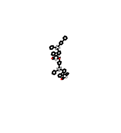 c1ccc(-c2ccc(-c3nc(-c4ccccc4)nc(-c4cccc5c4-c4ccccc4C54c5ccccc5Oc5c(-c6ccc(-c7nc(-c8ccccc8)nc(-c8cccc9c8-c8ccccc8C98c9ccccc9Oc9ccccc98)n7)cc6)cccc54)n3)cc2)cc1